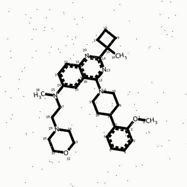 COc1ccccc1C1CCN(c2nc(C3(C)CCC3)nc3ccc(N(C)CCN4CCOCC4)cc23)CC1